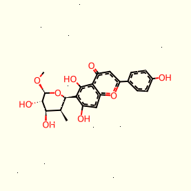 CO[C@H]1O[C@@H](c2c(O)cc3oc(-c4ccc(O)cc4)cc(=O)c3c2O)[C@@H](C)[C@@H](O)[C@@H]1O